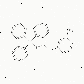 Cc1cccc(CCSC(c2ccccc2)(c2ccccc2)c2ccccc2)c1